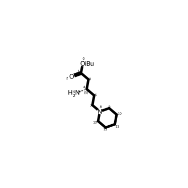 CC(C)COC(=O)C[C@@H](N)CCN1CCCCC1